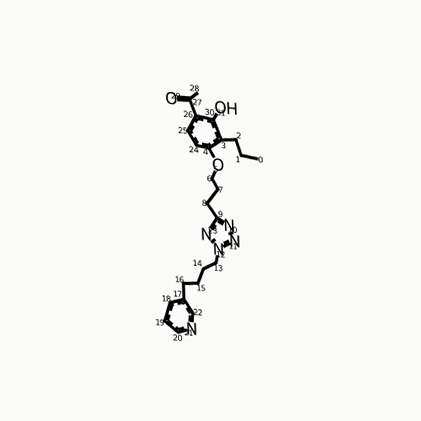 CCCc1c(OCCCc2nnn(CCCCc3cccnc3)n2)ccc(C(C)=O)c1O